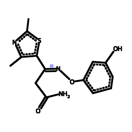 Cc1nc(C)c(/C(CC(N)=O)=N/Oc2cccc(O)c2)s1